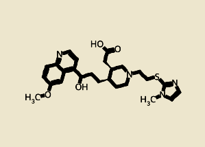 COc1ccc2nccc(C(O)CC[C@@H]3CCN(CCSc4nccn4C)C[C@@H]3CC(=O)O)c2c1